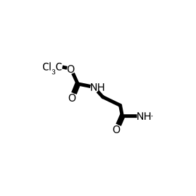 [NH]C(=O)CCNC(=O)OC(Cl)(Cl)Cl